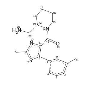 Cc1cccc(-c2sc(C)nc2C(=O)N2CCCC[C@H]2CN)c1